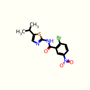 CC(C)c1cnc(NC(=O)c2cc([N+](=O)[O-])ccc2Br)s1